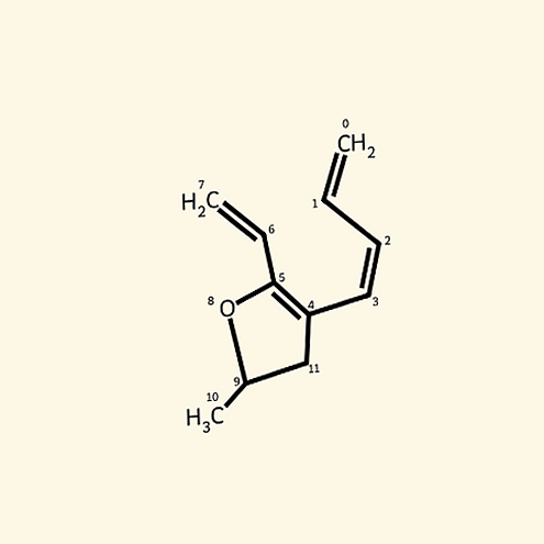 C=C/C=C\C1=C(C=C)OC(C)C1